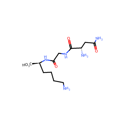 NCCCC[C@H](NC(=O)CNC(=O)[C@@H](N)CC(N)=O)C(=O)O